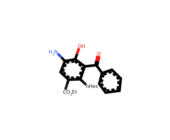 CCCCCCc1c(C(=O)OCC)cc(N)c(O)c1C(=O)c1ccccc1